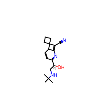 CC(C)(C)NC[C@H](O)C1=NC2=C(C#N)C3(CCC3)C2C=C1